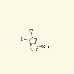 O=C(O)c1cccn2c(C3CC3)c(C3CC3)nc12